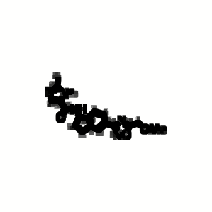 COCc1nc(-c2ccc3c(c2)CC[C@H]3NC(=O)c2cnc(C)n2C)no1